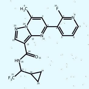 Cc1cc(-c2cccnc2F)nc2c(C(=O)NC(C3CC3)C(F)(F)F)cnn12